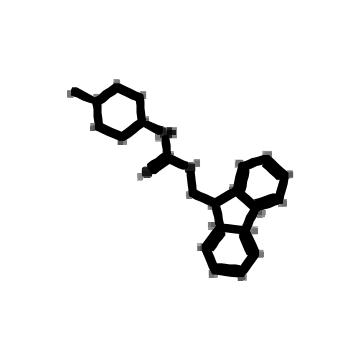 C[C@H]1CC[C@@H](NC(=O)OCC2c3ccccc3-c3ccccc32)CC1